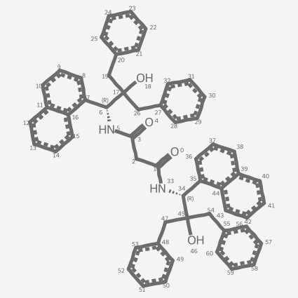 O=C(CC(=O)N[C@H](c1cccc2ccccc12)C(O)(Cc1ccccc1)Cc1ccccc1)N[C@H](c1cccc2ccccc12)C(O)(Cc1ccccc1)Cc1ccccc1